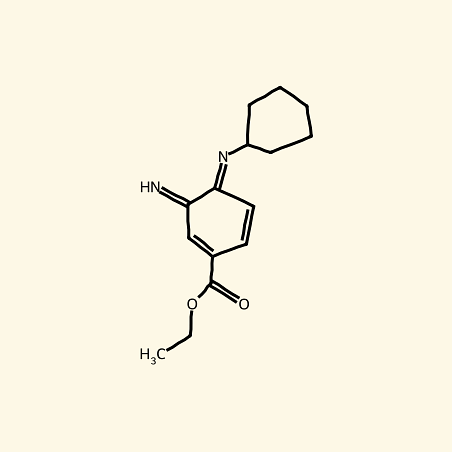 CCOC(=O)C1=CC(=N)C(=NC2CCCCC2)C=C1